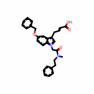 CN(CCc1ccccc1)C(=O)Cn1cc(CC=CC(=O)O)c2cc(OCc3ccccc3)ccc21